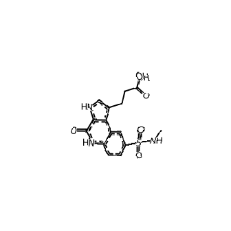 CNS(=O)(=O)c1ccc2[nH]c(=O)c3[nH]cc(CCC(=O)O)c3c2c1